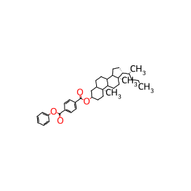 CCC[C@@H](C)[C@H]1CCC2C3CCC4CC(OC(=O)c5ccc(C(=O)Oc6ccccc6)cc5)CC[C@]4(C)C3CC[C@@]21C